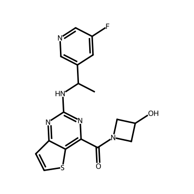 CC(Nc1nc(C(=O)N2CC(O)C2)c2sccc2n1)c1cncc(F)c1